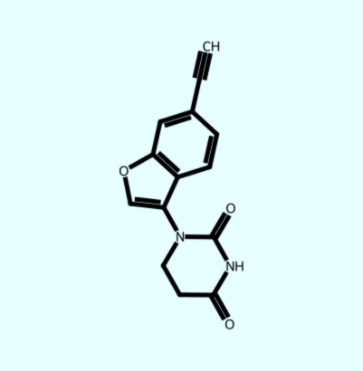 C#Cc1ccc2c(N3CCC(=O)NC3=O)coc2c1